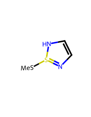 CSS1=NC=CN1